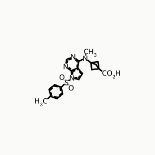 Cc1ccc(S(=O)(=O)n2ccc3c(N(C)C45CC(C(=O)O)(C4)C5)ncnc32)cc1